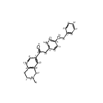 CN1CCc2ncc(C(=O)Cc3ccc(OCc4ccccc4)nn3)cc2C1